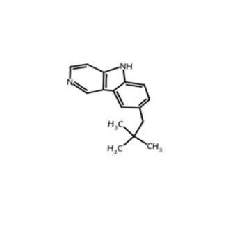 CC(C)(C)Cc1ccc2[nH]c3ccncc3c2c1